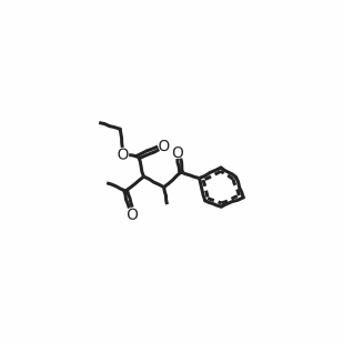 CCOC(=O)C(C(C)=O)C(C)C(=O)c1ccccc1